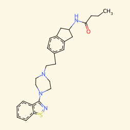 CCCC(=O)NC1Cc2ccc(CCN3CCN(c4nsc5ccccc45)CC3)cc2C1